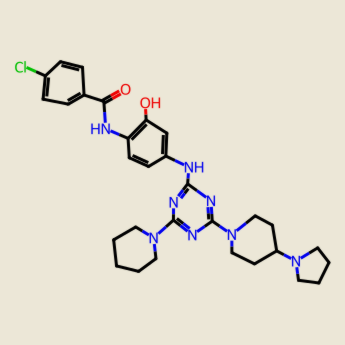 O=C(Nc1ccc(Nc2nc(N3CCCCC3)nc(N3CCC(N4CCCC4)CC3)n2)cc1O)c1ccc(Cl)cc1